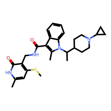 CSc1cc(C)[nH]c(=O)c1CNC(=O)c1c(C)n(C(C)C2CCN(C3CC3)CC2)c2ccccc12